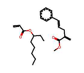 C=C(CC=Cc1ccccc1)C(=O)OC.C=CC(=O)OC(CC)CCCCC